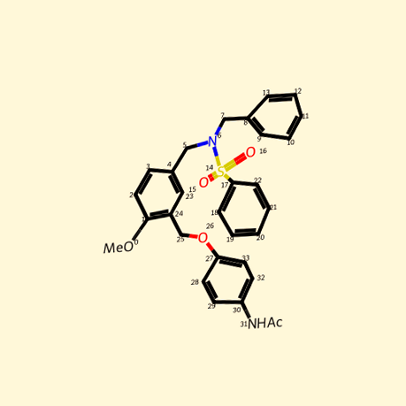 COc1ccc(CN(Cc2ccccc2)S(=O)(=O)c2ccccc2)cc1COc1ccc(NC(C)=O)cc1